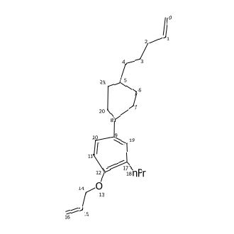 C=CCCCC1CCC(c2ccc(OCC=C)c(CCC)c2)CC1